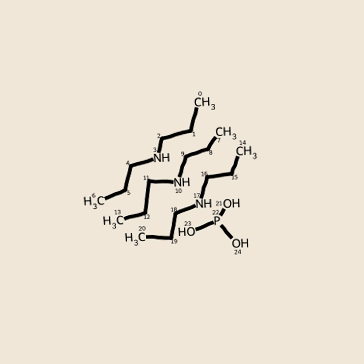 CCCNCCC.CCCNCCC.CCCNCCC.OP(O)O